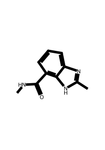 CNC(=O)c1cccc2nc(C)[nH]c12